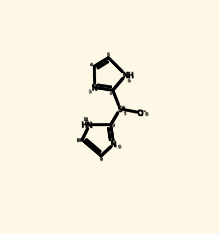 [O-][S+](c1ncc[nH]1)c1ncc[nH]1